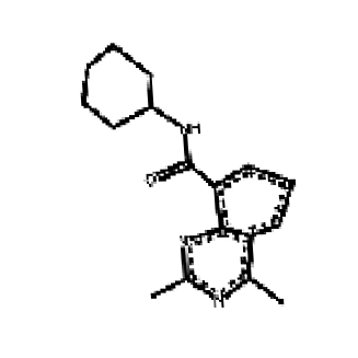 Cc1nc(C)c2cccc(C(=O)NC3CCCCC3)c2n1